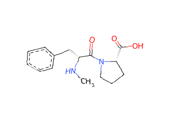 CN[C@H](Cc1ccccc1)C(=O)N1CCC[C@H]1C(=O)O